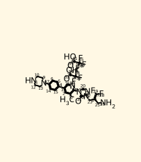 Cc1cc(-c2ccc(N3CCNCC3)cc2)cnc1-n1cnn(CC(CN)=C(F)F)c1=O.O=C(O)C(F)(F)F.O=C(O)C(F)(F)F